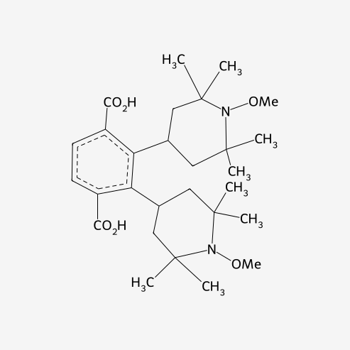 CON1C(C)(C)CC(c2c(C(=O)O)ccc(C(=O)O)c2C2CC(C)(C)N(OC)C(C)(C)C2)CC1(C)C